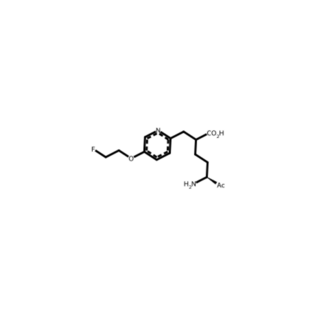 CC(=O)[C@@H](N)CCC(Cc1ccc(OCCF)cn1)C(=O)O